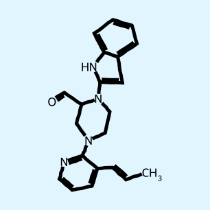 CC=Cc1cccnc1N1CCN(c2cc3ccccc3[nH]2)C(C=O)C1